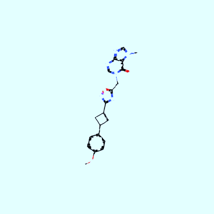 Cn1cnc2ncn(Cc3nc(C4CC(c5ccc(OC(F)(F)F)cc5)C4)no3)c(=O)c21